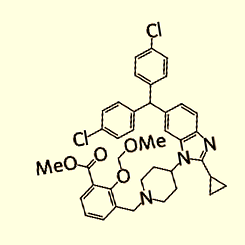 COCOc1c(CN2CCC(n3c(C4CC4)nc4ccc(C(c5ccc(Cl)cc5)c5ccc(Cl)cc5)cc43)CC2)cccc1C(=O)OC